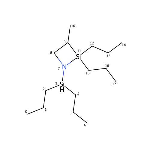 CCC[SiH](CCC)N1CC(C)[Si]1(CCC)CCC